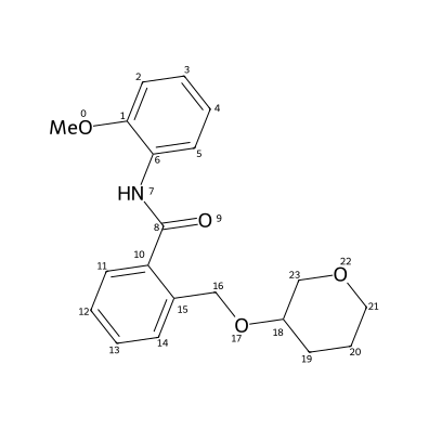 COc1ccccc1NC(=O)c1ccccc1COC1CCCOC1